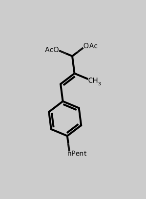 CCCCCc1ccc(/C=C(\C)C(OC(C)=O)OC(C)=O)cc1